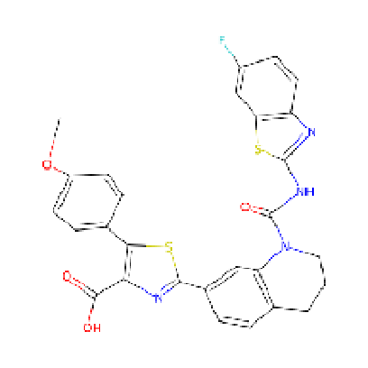 COc1ccc(-c2sc(-c3ccc4c(c3)N(C(=O)Nc3nc5ccc(F)cc5s3)CCC4)nc2C(=O)O)cc1